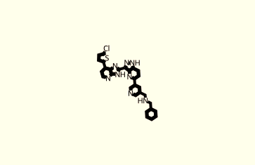 Clc1ccc(-c2ccnc3[nH]c(-c4n[nH]c5ccc(-c6cncc(CNCc7ccccc7)c6)nc45)nc23)s1